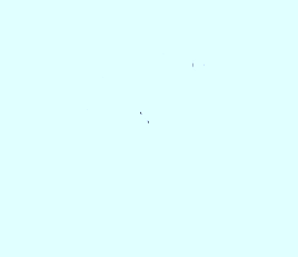 CC[C@H]1CCN([C@H](C)c2ccccc2)[C@H]1C(C)=O